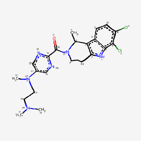 CC1c2c([nH]c3c(Cl)c(Cl)ccc23)CCN1C(=O)c1ncc(N(C)CCN(C)C)cn1